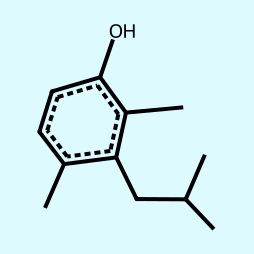 Cc1ccc(O)c(C)c1CC(C)C